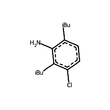 CCC(C)c1ccc(Cl)c(C(C)CC)c1N